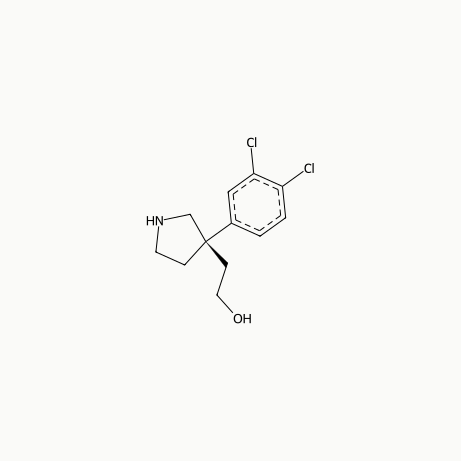 OCC[C@@]1(c2ccc(Cl)c(Cl)c2)CCNC1